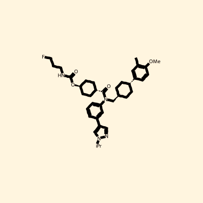 COc1ccc([C@H]2CC[C@H](CN(c3cccc(-c4cnn(C(C)C)c4)c3)C(=O)[C@H]3CC[C@H](OC(=O)NCCCF)CC3)CC2)cc1C